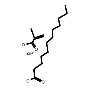 C=C(C)C(=O)[O-].CCCCCCCCCCCC(=O)[O-].[Zn+2]